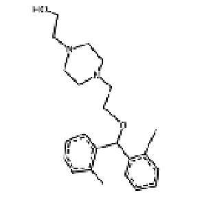 Cc1ccccc1C(OCCN1CCN(CCO)CC1)c1ccccc1C